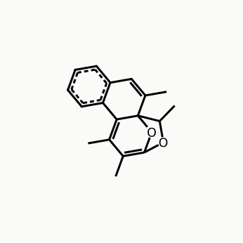 CC1=Cc2ccccc2C2=C(C)C(C)=C3OC(C)C12O3